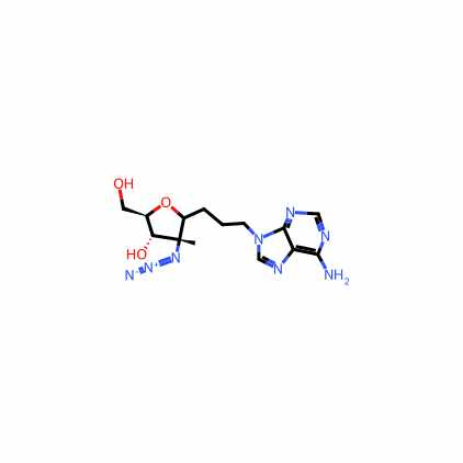 C[C@]1(N=[N+]=[N-])C(CCCn2cnc3c(N)ncnc32)O[C@H](CO)[C@H]1O